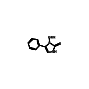 CCCCCCn1c(-c2ccccc2)c[nH]c1=S